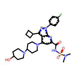 CN(C)S(=O)(=O)NC(=O)c1cc(N2CCC(N3CCC(O)CC3)CC2)c2c(C3CCC3)nn(-c3ccc(F)cc3)c2n1